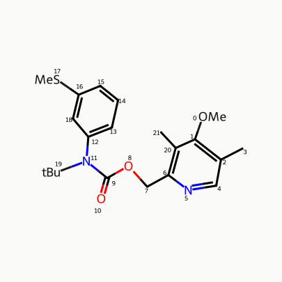 COc1c(C)cnc(COC(=O)N(c2cccc(SC)c2)C(C)(C)C)c1C